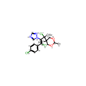 CCC1OCC(C)(C(Cl)(OC(C)=O)C(=C(Cl)c2ccc(Cl)cc2)n2cncn2)CO1